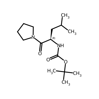 CC(C)C[C@@H](NC(=O)OC(C)(C)C)C(=O)N1CCCC1